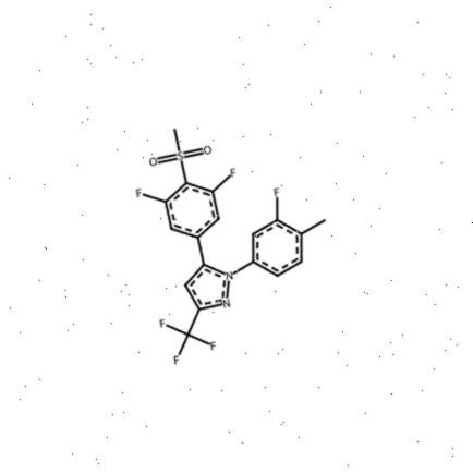 Cc1ccc(-n2nc(C(F)(F)F)cc2-c2cc(F)c(S(C)(=O)=O)c(F)c2)cc1F